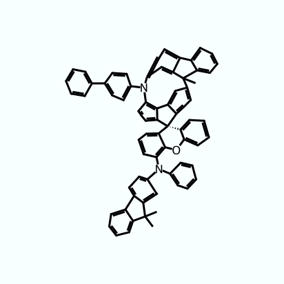 CC1(C)c2ccccc2-c2ccc(N(c3ccccc3)c3cccc4c3Oc3ccccc3[C@]43c4ccc5cc4-c4c(cccc43)N(c3ccc(-c4ccccc4)cc3)c3ccc4c(c3)C5(C)c3ccccc3-4)cc21